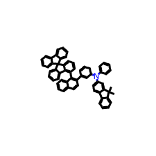 CC1(C)c2ccccc2-c2ccc(N(c3ccccc3)C3C=C(c4ccc5ccccc5c4-c4cccc5c4-c4ccccc4C54c5ccccc5-c5ccccc54)C=CC3)cc21